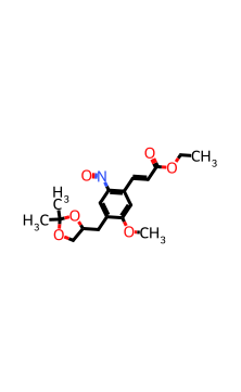 CCOC(=O)/C=C/c1cc(OC)c(CC2COC(C)(C)O2)cc1N=O